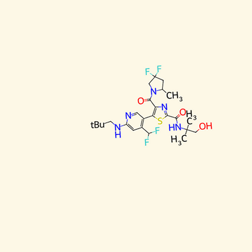 CC1CC(F)(F)CN1C(=O)c1nc(C(=O)NC(C)(C)CO)sc1-c1cnc(NCC(C)(C)C)cc1C(F)F